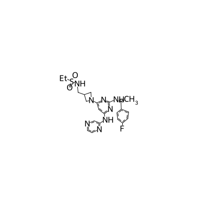 CCS(=O)(=O)NCC1CN(c2cc(Nc3cnccn3)nc(N[C@@H](C)c3ccc(F)cc3)n2)C1